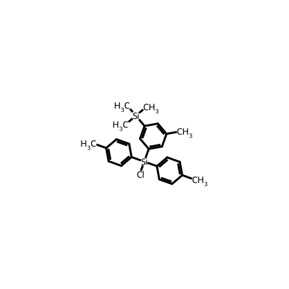 Cc1ccc([Si](Cl)(c2ccc(C)cc2)c2cc(C)cc([Si](C)(C)C)c2)cc1